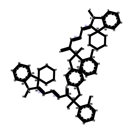 C=C(/C=C/C=C1/N(C)c2ccccc2C12CCCCC2)C(C)(Cc1ccc(CC(C)(C(=C)/C=C/C=C2/N(C)c3ccccc3C23CCCCC3)c2ccccc2C)cc1)c1ccccc1C